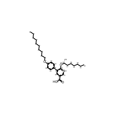 CCCCCCCCCCOc1ccc(-c2cc(C(=O)O)cnc2O[C@H](C)CCCCCC)cc1